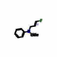 CON(C/C=C/F)c1ccccc1